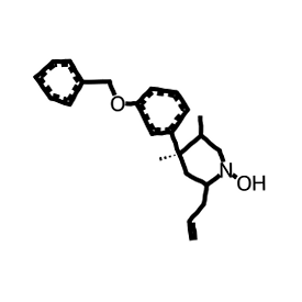 C=CCC1C[C@@](C)(c2cccc(OCc3ccccc3)c2)C(C)CN1O